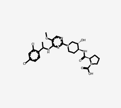 COc1cnc(N2CC[C@H](NC(=O)[C@H]3CCCN3C(=O)O)[C@@H](O)C2)nc1NC(C)c1ccc(Cl)cc1Cl